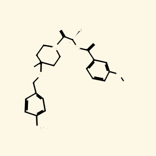 COc1ccc(CNC2(C)CCN(C(=O)[C@H](NC(=O)c3cccc(OC(F)(F)F)c3)C(C)C)CC2)cc1